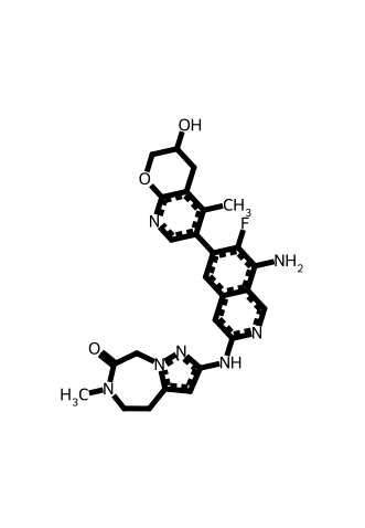 Cc1c(-c2cc3cc(Nc4cc5n(n4)CC(=O)N(C)CC5)ncc3c(N)c2F)cnc2c1CC(O)CO2